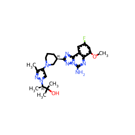 COc1cc(F)cc2c1nc(N)n1nc([C@@H]3CCCN(c4cn([C@H](C)C(C)(C)O)nc4C)C3)nc21